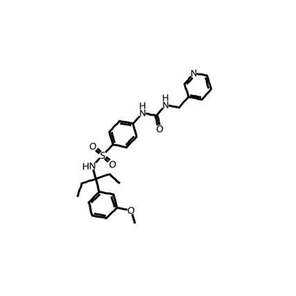 CCC(CC)(NS(=O)(=O)c1ccc(NC(=O)NCc2cccnc2)cc1)c1cccc(OC)c1